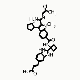 C/C(Cl)=C\N=C(/N)c1c(C2CCCC2)c2ccc(C(=O)NC3(C4NC5C=CC(/C=C/C(=O)O)=CC5N4)CCC3)cc2n1C